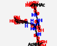 CC(=O)NC1C(OCCOCCC(=O)NCCCCNC(=O)CN(CCOCCO)CCN(CC(=O)NCCCCNC(=O)CCOCCOC2OC(CO)C(O)C(O)C2NC(C)=O)CC(=O)NCCCCNC(=O)CCOCCOC2OC(CO)C(O)C(O)C2NC(C)=O)OC(CO)C(O)C1O